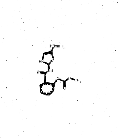 CNC1=CNC(NC(=O)c2ccccc2OC(=O)OC)S1